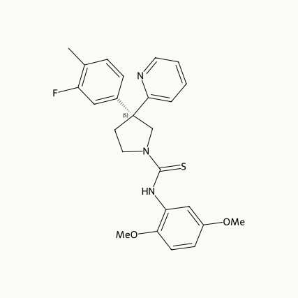 COc1ccc(OC)c(NC(=S)N2CC[C@@](c3ccc(C)c(F)c3)(c3ccccn3)C2)c1